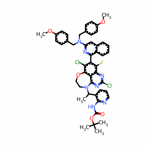 COc1ccc(CN(Cc2ccc(OC)cc2)c2cc3ccccc3c(-c3c(Cl)c4c5c(nc(Cl)nc5c3F)N(C(C)c3cccnc3NC(=O)OC(C)(C)C)CCO4)n2)cc1